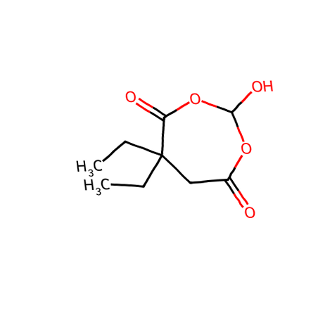 CCC1(CC)CC(=O)OC(O)OC1=O